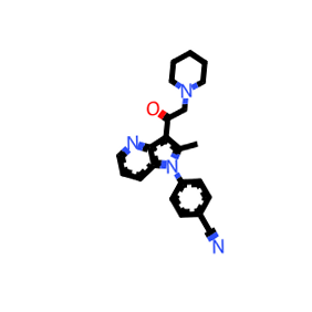 Cc1c(C(=O)CN2CCCCC2)c2ncccc2n1-c1ccc(C#N)cc1